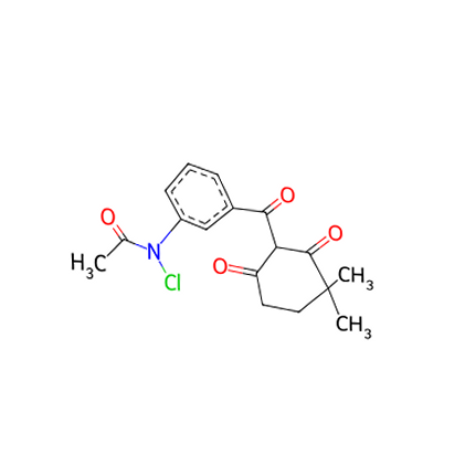 CC(=O)N(Cl)c1cccc(C(=O)C2C(=O)CCC(C)(C)C2=O)c1